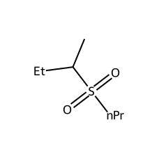 [CH2]CCS(=O)(=O)C(C)CC